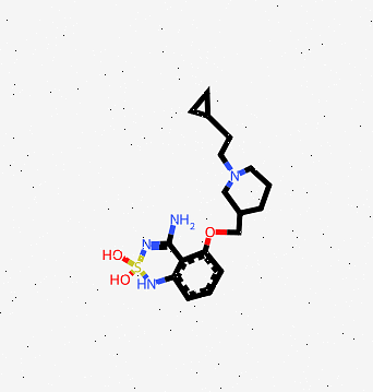 NC1=NS(O)(O)Nc2cccc(OCC3CCCN(CCC4CC4)C3)c21